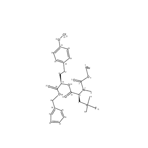 CN(C(=O)OC(C)(C)C)[C@@H](CC(C)(C)F)C(=O)O[C@H](CCc1ccc(OC(F)(F)F)cc1)C(=O)OCc1ccccc1